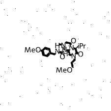 COCCCN1C[C@H]2N(C(=O)CN(C)N2C(=O)NCc2ccc(OC)cc2)[C@@H](C(C)C)C1=O